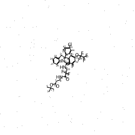 CC(C)(C)OC(=O)CCNC(=O)C(F)(F)CNC(=O)N[C@@](Cc1ccccc1)(c1cc(F)cc(OC(F)(F)C(F)F)c1)c1ccc(Cl)cn1